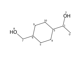 CC(O)C1CCC(CO)CC1